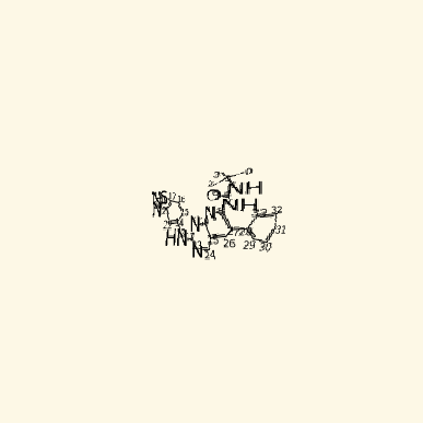 CC(C)(C)NC(=O)Nc1nc2nc(Nc3ccc4snnc4c3)ncc2cc1-c1ccccc1